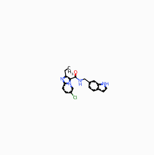 CCc1nc2ccc(Cl)cn2c1C(=O)NCc1ccc2cc[nH]c2c1